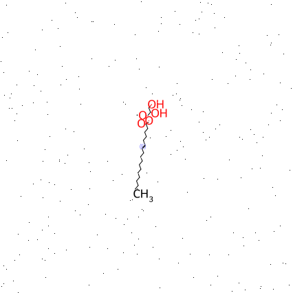 CCCCCCCCCCC/C=C/CCCCC(=O)OC([O])C(O)CO